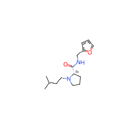 CC(C)CCN1CCC[C@H]1C(=O)NCc1ccco1